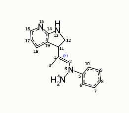 C/C(=C\N(N)c1ccccc1)C1CNc2ncccc21